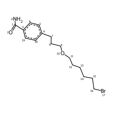 NC(=O)c1ccc(CCCOCCCCCCBr)cc1